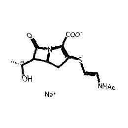 CC(=O)NC=CSC1=C(C(=O)[O-])N2C(=O)C([C@@H](C)O)C2C1.[Na+]